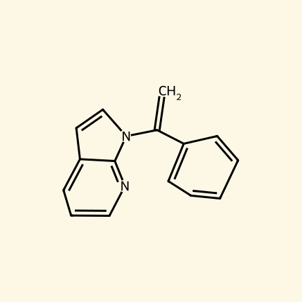 C=C(c1ccccc1)n1ccc2cccnc21